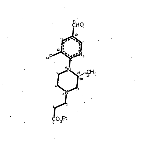 CCOC(=O)CCN1CCN(c2ncc(C=O)cc2F)[C@H](C)C1